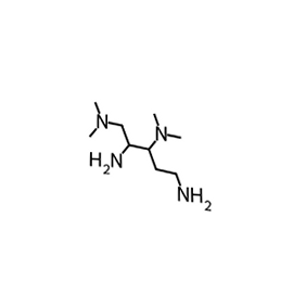 CN(C)CC(N)C(CCN)N(C)C